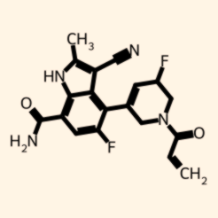 C=CC(=O)N1CC(c2c(F)cc(C(N)=O)c3[nH]c(C)c(C#N)c23)=CC(F)C1